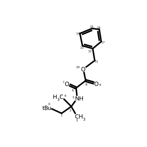 CC(C)(C)CC(C)(C)NC(=O)C(=O)OCc1ccccc1